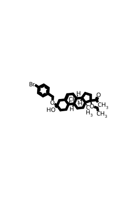 CCO[C@]1(C(C)=O)CC[C@H]2[C@@H]3CC=C4CC(O)(OCc5ccc(Br)cc5)CC[C@]4(C)[C@H]3CC[C@@]21C